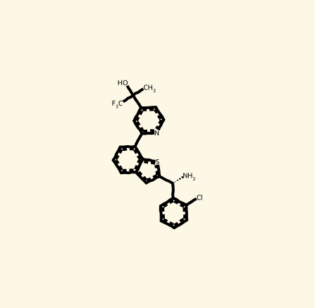 CC(O)(c1ccnc(-c2cccc3cc([C@H](N)c4ccccc4Cl)sc23)c1)C(F)(F)F